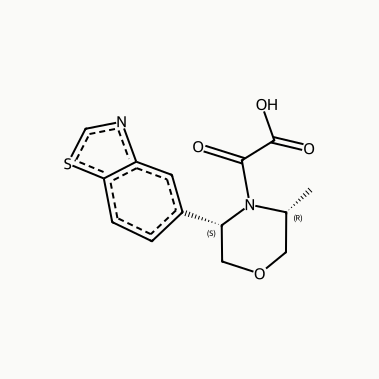 C[C@@H]1COC[C@H](c2ccc3scnc3c2)N1C(=O)C(=O)O